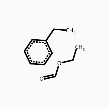 CCOC=O.CCc1ccccc1